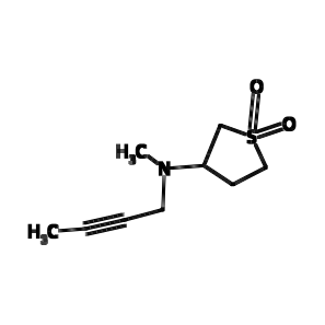 CC#CCN(C)C1CCS(=O)(=O)C1